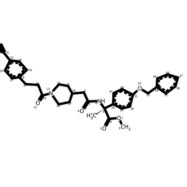 COC(=O)[C@@](C)(NC(=O)CC1CCN(C(=O)CCc2ccc(C#N)cc2)CC1)c1ccc(OCc2ccccc2)cc1